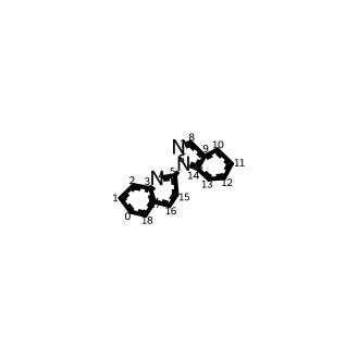 c1ccc2nc(-n3ncc4ccccc43)ccc2c1